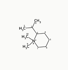 CC(C)C1CCCC[N+]1(C)C